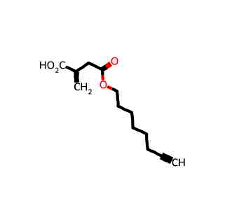 C#CCCCCCCOC(=O)CC(=C)C(=O)O